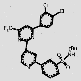 CC(C)(C)NS(=O)(=O)c1cccc(-c2cc(-c3nc(-c4ccc(Cl)c(Cl)c4)cc(C(F)(F)F)n3)ccn2)c1